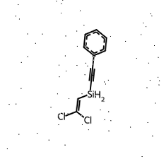 ClC(Cl)=C[SiH2]C#Cc1ccccc1